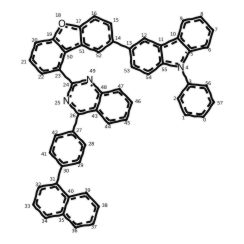 c1ccc(-n2c3ccccc3c3cc(-c4ccc5oc6cccc(-c7nc(-c8ccc(-c9cccc%10ccccc9%10)cc8)c8ccccc8n7)c6c5c4)ccc32)cc1